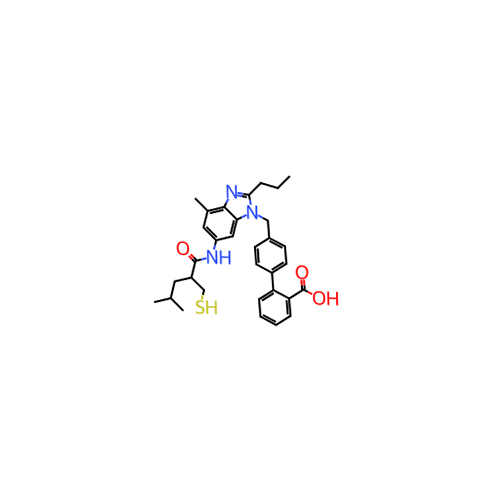 CCCc1nc2c(C)cc(NC(=O)C(CS)CC(C)C)cc2n1Cc1ccc(-c2ccccc2C(=O)O)cc1